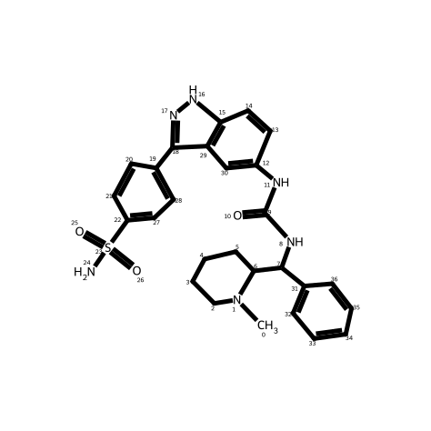 CN1CCCCC1C(NC(=O)Nc1ccc2[nH]nc(-c3ccc(S(N)(=O)=O)cc3)c2c1)c1ccccc1